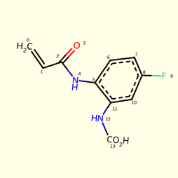 C=CC(=O)Nc1ccc(F)cc1NC(=O)O